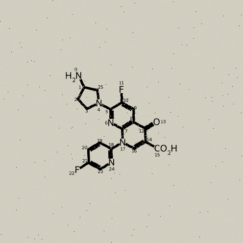 NC1CCN(c2nc3c(cc2F)c(=O)c(C(=O)O)cn3-c2ccc(F)cn2)C1